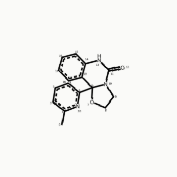 Cc1cccc(C23OCCN2C(=O)Nc2ccccc23)n1